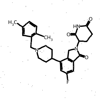 Cc1ccc(C)c(CN2CCC(c3cc(F)cc4c3CN(C3CCC(=O)NC3=O)C4=O)CC2)c1